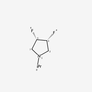 CC(C)N1C[C@@H](F)[C@@H](F)C1